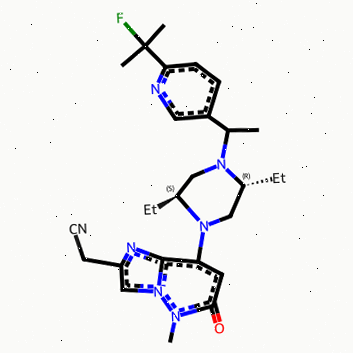 CC[C@H]1CN(C(C)c2ccc(C(C)(C)F)nc2)[C@H](CC)CN1c1cc(=O)n(C)n2cc(CC#N)nc12